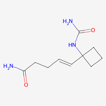 NC(=O)CCC=CC1(NC(N)=O)CCC1